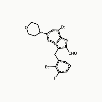 CCc1c(F)cccc1Cc1c(C=O)nc2c(CC)cc(N3CCOCC3)nn12